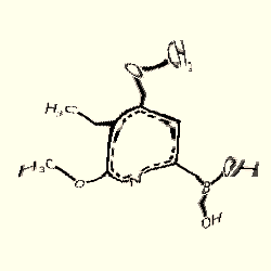 COc1cc(B(O)O)nc(OC)c1C